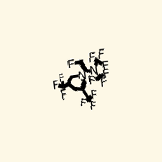 F/C=C(\N1CC(C(F)(F)F)CC(C(F)(F)F)C1)N(C(F)(F)F)C(F)(F)F